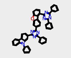 c1ccc(-c2nc(-c3ccc4c(c3)oc3cccc(-c5nc(-c6ccccc6)nc(-c6ccccc6)n5)c34)nc(-c3ccc4c5ccccc5n(-c5ccccc5)c4c3)n2)cc1